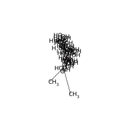 CCCCCCCCCCCCC/C=C/[C@@H](O)[C@H](CO[C@@H]1OC(CO)[C@@H](O[C@@H]2OC(CO)[C@H](O)[C@H](O[C@@H]3OC(CO)[C@@H](O[C@@H]4OC(CO[C@@H]5OC(CO)[C@@H](O)[C@H](O)C5NC(C)=O)[C@H](O)[C@H](O[C@H]5OC(CO)[C@@H](O[C@@H]6OC(CO)[C@H](O)[C@H](O[C@]7(C(=O)O)CC(O)[C@@H](NC(C)=O)C([C@H](O)[C@H](O)CO)O7)C6O)[C@H](O)C5NC(C)=O)C4O)[C@H](O)C3NC(C)=O)C2O)[C@H](O)C1O)NC(=O)CCCCCCCCCCCCCCCCCCCCC